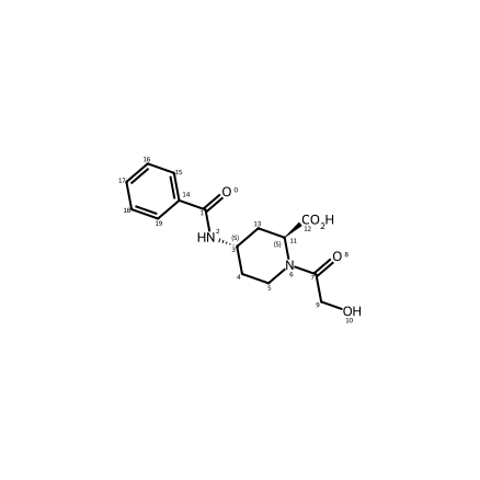 O=C(N[C@H]1CCN(C(=O)CO)[C@H](C(=O)O)C1)c1ccccc1